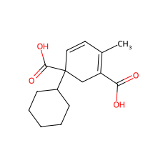 CC1=C(C(=O)O)CC(C(=O)O)(C2CCCCC2)C=C1